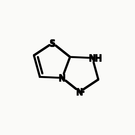 C1=CN2[N]CNC2S1